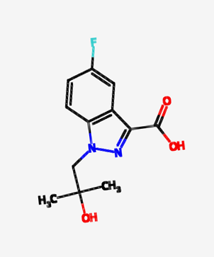 CC(C)(O)Cn1nc(C(=O)O)c2cc(F)ccc21